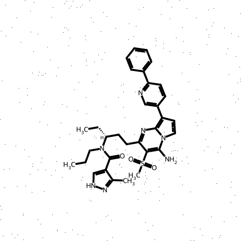 CCCN(C(=O)c1c[nH]nc1C)[C@H](CC)CCc1nc2c(-c3ccc(-c4ccccc4)nc3)ccn2c(N)c1S(C)(=O)=O